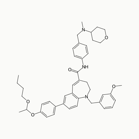 CCCCOC(C)Oc1ccc(-c2ccc3c(c2)C=C(C(=O)Nc2ccc(CN(C)C4CCOCC4)cc2)CCN3Cc2cccc(OC)c2)cc1